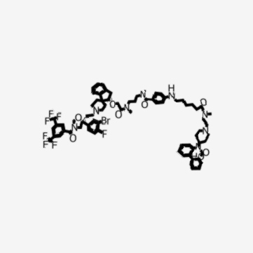 CN(CCN1CCC(N(C(=O)O)c2ccccc2-c2ccccc2)CC1)C(=O)CCCCCNc1ccc(C(=O)N(C)CCCN(C)C(=O)CO[C@H]2Cc3ccccc3C23CCN(CC[C@]2(c4ccc(F)c(Br)c4)CN(C(=O)c4cc(C(F)(F)F)cc(C(F)(F)F)c4)CO2)CC3)cc1